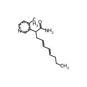 CCCC=CC=CCC(C(N)=O)c1cnccc1C